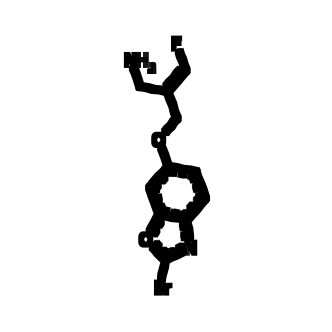 NC/C(=C\F)COc1ccc2nc(Br)oc2c1